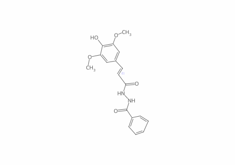 COc1cc(/C=C/C(=O)NNC(=O)c2ccccc2)cc(OC)c1O